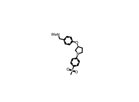 CNCc1ccc(O[C@H]2CCN(c3ccc(S(C)(=O)=O)cc3)C2)cc1